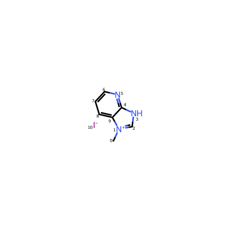 C[n+]1c[nH]c2ncccc21.[I-]